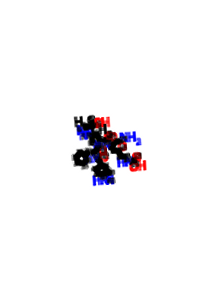 CC(C)(O)c1cnnn1[C@H]1C[C@@H](C(=O)NC(CCCCNC(=O)O)C(=O)C(N)=O)N(C(=O)[C@@H](CC2CCCCC2)NC(=O)c2ccc3[nH]ncc3c2)C1